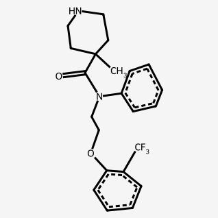 CC1(C(=O)N(CCOc2ccccc2C(F)(F)F)c2ccccc2)CCNCC1